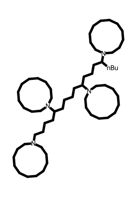 CCCCC(CCCC(CCCCC(CCCCN1CCCCCCCCCCC1)N1CCCCCCCCCCC1)N1CCCCCCCCCCC1)N1CCCCCCCCCCC1